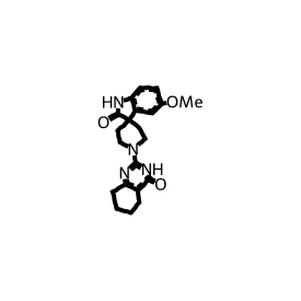 COc1ccc2c(c1)C1(CCN(c3nc4c(c(=O)[nH]3)CCCC4)CC1)C(=O)N2